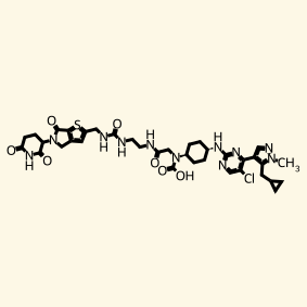 Cn1ncc(-c2nc(N[C@H]3CC[C@H](N(CC(=O)NCCNC(=O)NCc4cc5c(s4)C(=O)N(C4CCC(=O)NC4=O)C5)C(=O)O)CC3)ncc2Cl)c1CC1CC1